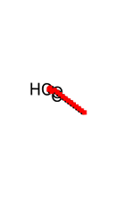 CCCCCCCCC/C=C/C=C/C=C/C=C/C=C/C(=O)OCCc1ccc(O)cc1